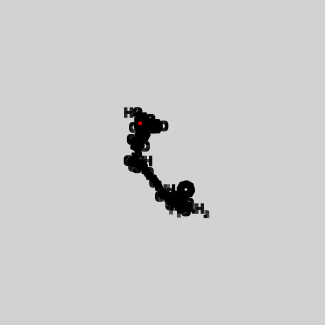 NS(=O)(=O)c1c(F)c(F)c(S(=O)(=O)CCC(=O)NCCOCCOCCC(=O)NC(CSC2CC(=O)N(c3ccc(-c4c5ccc(=O)cc-5oc5cc(O)ccc45)c(C(=O)O)c3)C2=O)C(=O)O)c(NC2CCCCCCC2)c1F